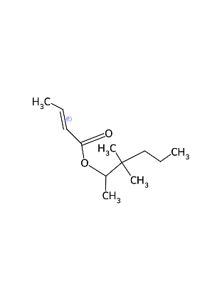 C/C=C/C(=O)OC(C)C(C)(C)CCC